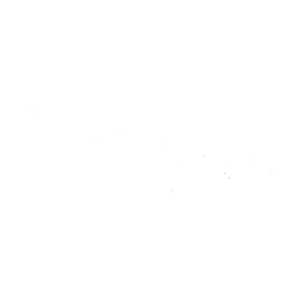 O=C1CCC(C(=O)OCCOCCO)N1